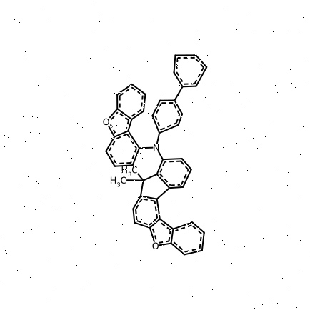 CC1(C)c2ccc3oc4ccccc4c3c2-c2cccc(N(c3ccc(-c4ccccc4)cc3)c3cccc4oc5ccccc5c34)c21